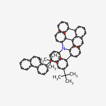 CC(C)(C)c1cc(-c2ccccc2N(c2ccc(-c3cccc4c3ccc3ccccc34)cc2)c2ccccc2-c2cccc3cccc(-c4ccccc4)c23)cc(C(C)(C)C)c1